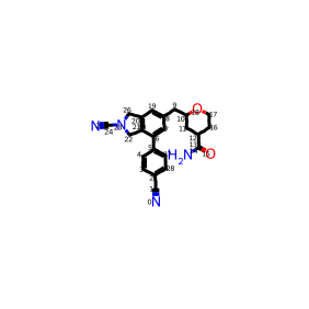 N#Cc1ccc(-c2cc(CC3CC(C(N)=O)CCO3)cc3c2CN(C#N)C3)cc1